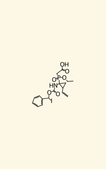 C=CC1CC1(NC(=O)OC(I)c1ccccc1)P(=O)(CC(=O)O)OCC